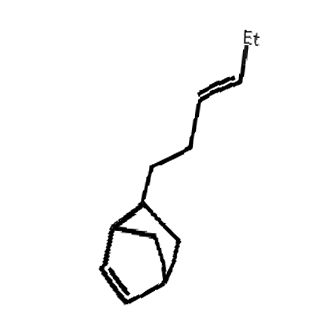 CCC=CCCC1CC2C=CC1C2